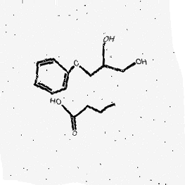 CCCC(=O)O.OCC(O)COc1ccccc1